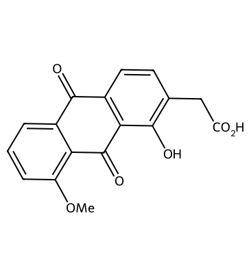 COc1cccc2c1C(=O)c1c(ccc(CC(=O)O)c1O)C2=O